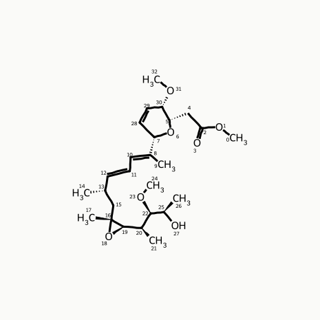 COC(=O)C[C@@H]1O[C@H](/C(C)=C/C=C/[C@@H](C)C[C@@]2(C)O[C@@H]2[C@H](C)[C@@H](OC)[C@@H](C)O)C=C[C@@H]1OC